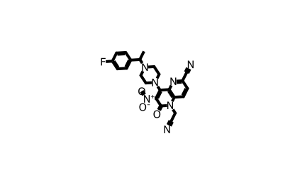 CC(c1ccc(F)cc1)N1CCN(c2c([N+](=O)[O-])c(=O)n(CC#N)c3ccc(C#N)nc23)CC1